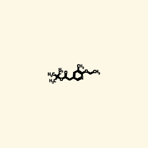 CCOc1ncc(CC(=O)OC(C)(C)C)cc1C